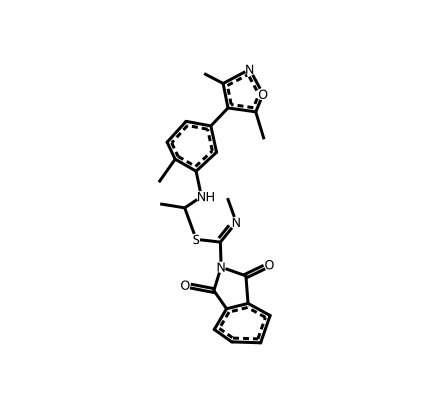 C/N=C(\SC(C)Nc1cc(-c2c(C)noc2C)ccc1C)N1C(=O)c2ccccc2C1=O